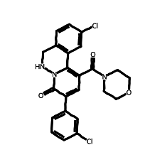 O=C(c1cc(-c2cccc(Cl)c2)c(=O)n2c1-c1cc(Cl)ccc1CN2)N1CCOCC1